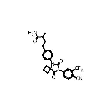 CC(CCc1ccc(N2C(=O)N(c3ccc(C#N)c(C(F)(F)F)c3)C(=O)C23CCC3)cc1)C(N)=O